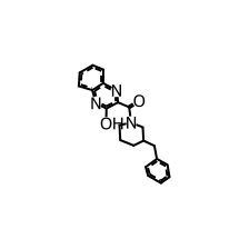 O=C(c1nc2ccccc2nc1O)N1CCCC(Cc2ccccc2)C1